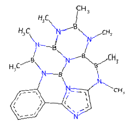 CB1N(C)B2B(C)N(C)c3cnc4n3B3N2B(N1C)N(C)B(C)N3c1ccccc1-4